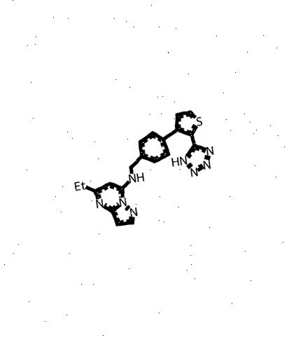 CCc1cc(NCc2ccc(-c3ccsc3-c3nnn[nH]3)cc2)n2nccc2n1